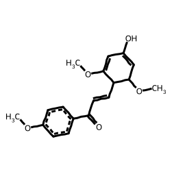 COC1=CC(O)=CC(OC)C1/C=C/C(=O)c1ccc(OC)cc1